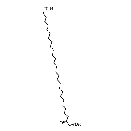 CCCCCCCCCCCC(=O)OCCCCCCCCCCCCCCCCCCCCCCCCCC(=O)O